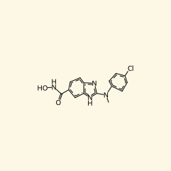 CN(c1ccc(Cl)cc1)c1nc2ccc(C(=O)NO)cc2[nH]1